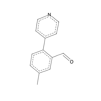 Cc1ccc(-c2ccncc2)c(C=O)c1